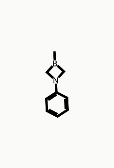 CB1CN(c2ccccc2)C1